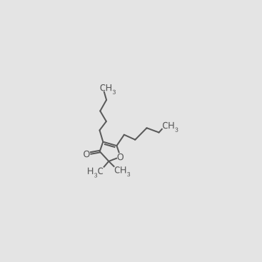 CCCCCC1=C(CCCCC)C(=O)C(C)(C)O1